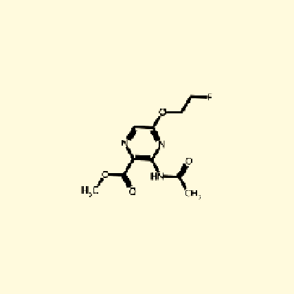 COC(=O)c1ncc(OCCF)nc1NC(C)=O